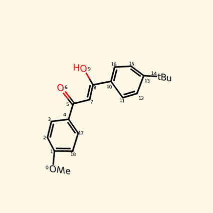 COc1ccc(C(=O)/C=C(\O)c2ccc(C(C)(C)C)cc2)cc1